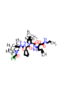 C#CCCC(NC(=O)[C@@H]1[C@@H]2[C@H](CN1C(=O)[C@@H](NC(=O)N[C@H](CN(C)C(=O)C(F)(F)F)C(C)(C)C)C1CCCCC1)C2(C)C)C(=O)C(=O)NCC=C